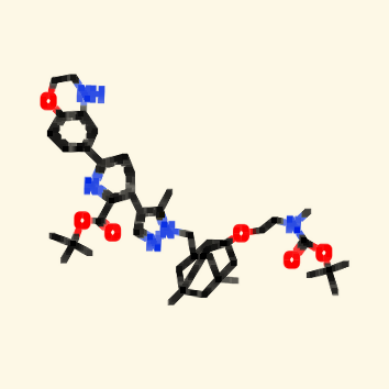 Cc1c(-c2ccc(-c3ccc4c(c3)NCCO4)nc2C(=O)OC(C)(C)C)cnn1CC12CC3(C)CC(C)(C1)CC(OCCN(C)C(=O)OC(C)(C)C)(C3)C2